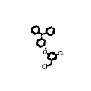 COc1cc(CCl)cc(OC)c1.c1ccc(P(c2ccccc2)c2ccccc2)cc1